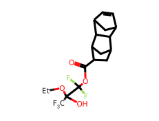 CCOC(O)(C(F)(F)F)C(F)(F)OC(=O)C1CC2CC1C1C3C=CC(C3)C21